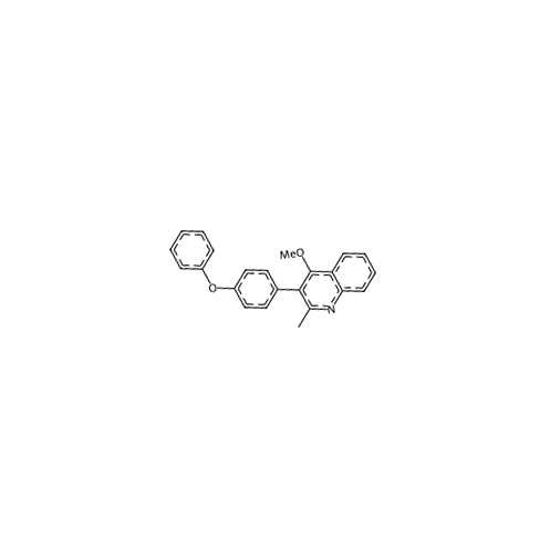 COc1c(-c2ccc(Oc3ccccc3)cc2)c(C)nc2ccccc12